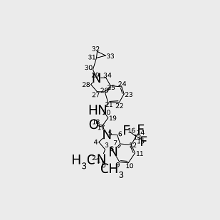 CN(C)CCN(Cc1ncccc1C(F)(F)F)C(=O)CNc1cccc2c1CCN(CC1CC1)C2